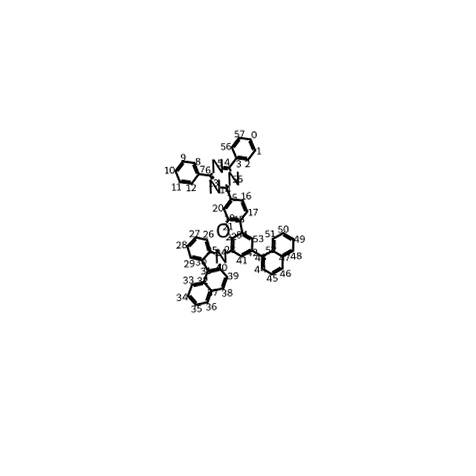 c1ccc(-c2nc(-c3ccccc3)nc(-c3ccc4c(c3)oc3c(-n5c6ccccc6c6c7ccccc7ccc65)cc(-c5cccc6ccccc56)cc34)n2)cc1